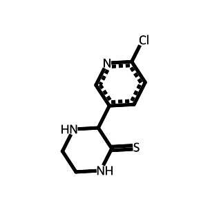 S=C1NCCNC1c1ccc(Cl)nc1